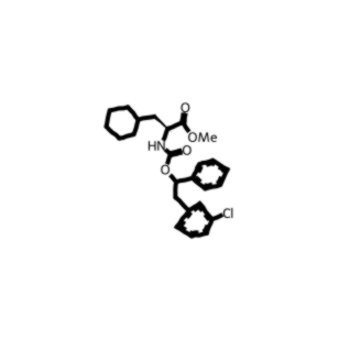 COC(=O)[C@H](CC1CCCCC1)NC(=O)OC(Cc1cccc(Cl)c1)c1ccccc1